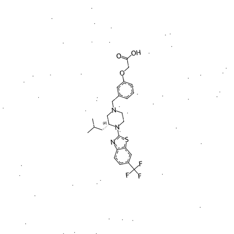 CC(C)C[C@@H]1CN(Cc2cccc(OCC(=O)O)c2)CCN1c1nc2ccc(C(F)(F)F)cc2s1